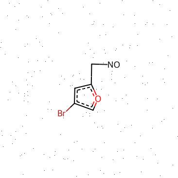 O=NCc1cc(Br)co1